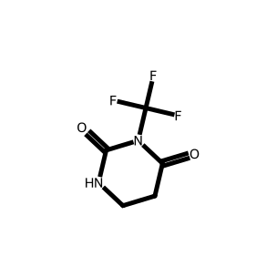 O=C1CCNC(=O)N1C(F)(F)F